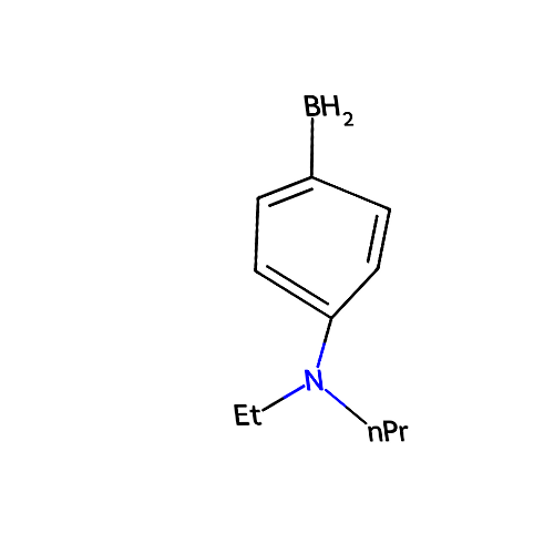 Bc1ccc(N(CC)CCC)cc1